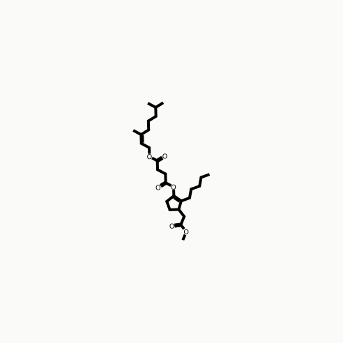 CCCCCC1=C(OC(=O)CCC(=O)OCC=C(C)CCCC(C)C)CCC1CC(=O)OC